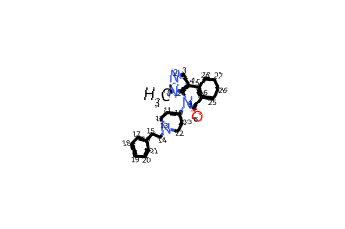 Cn1ncc2c3c(c(=O)n(C4CCN(CCc5ccccc5)CC4)c21)CCCC3